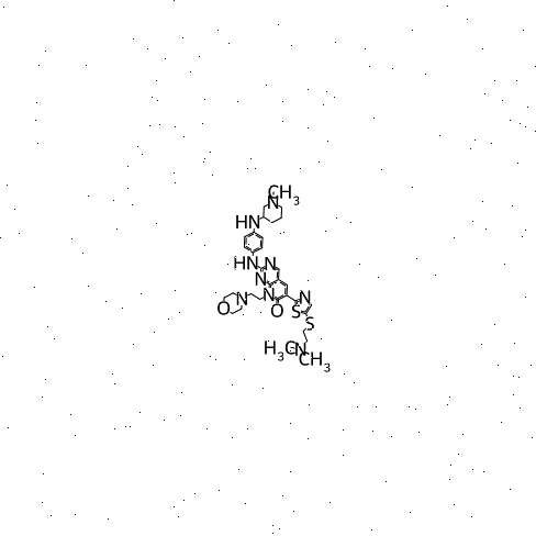 CN(C)CCSc1cnc(-c2cc3cnc(Nc4ccc(NC5CCCN(C)C5)cc4)nc3n(CCN3CCOCC3)c2=O)s1